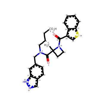 CC1(C(=O)N(CCCC(=O)O)Cc2ccc3cn[nH]c3c2)CCN1C(=O)c1csc2ccccc12